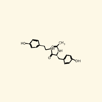 CC(=O)N[C@@H](Cc1ccc(O)cc1)C(=O)NCCc1ccc(O)cc1